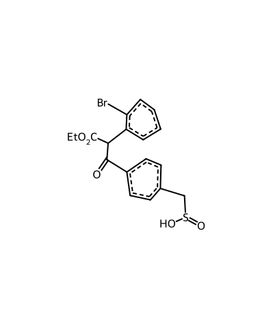 CCOC(=O)C(C(=O)c1ccc(CS(=O)O)cc1)c1ccccc1Br